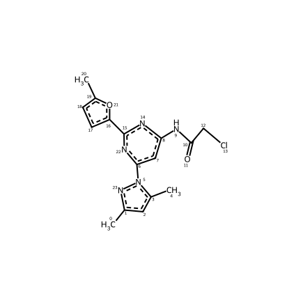 Cc1cc(C)n(-c2cc(NC(=O)CCl)nc(-c3ccc(C)o3)n2)n1